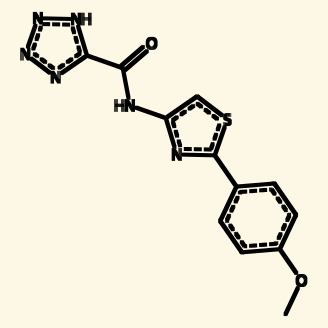 COc1ccc(-c2nc(NC(=O)c3nnn[nH]3)cs2)cc1